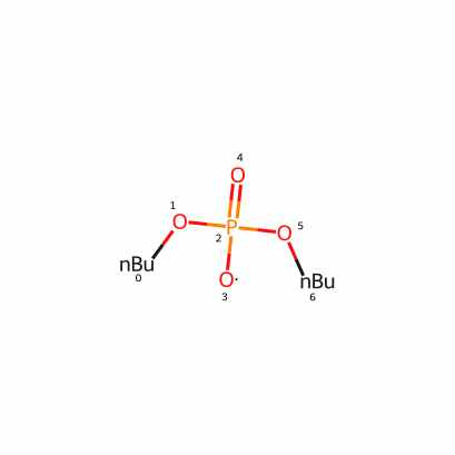 CCCCOP([O])(=O)OCCCC